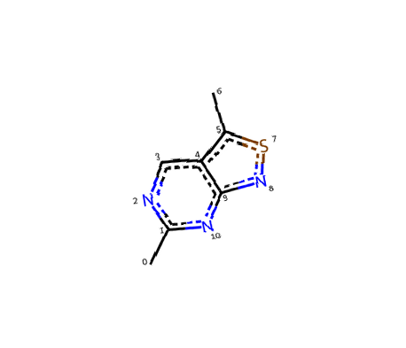 Cc1ncc2c(C)snc2n1